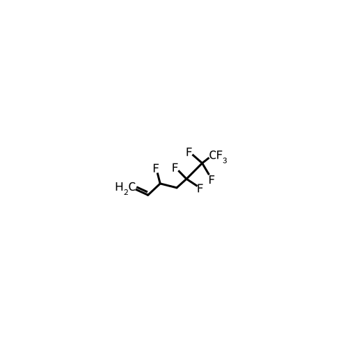 C=CC(F)CC(F)(F)C(F)(F)C(F)(F)F